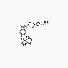 CCOC(=O)C1CCC(Nc2ccc(Cn3c(C)nc4c(C)ccnc43)cc2)CC1